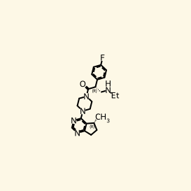 CCNC[C@H](C(=O)N1CCN(c2ncnc3c2[C@H](C)CC3)CC1)c1ccc(F)cc1